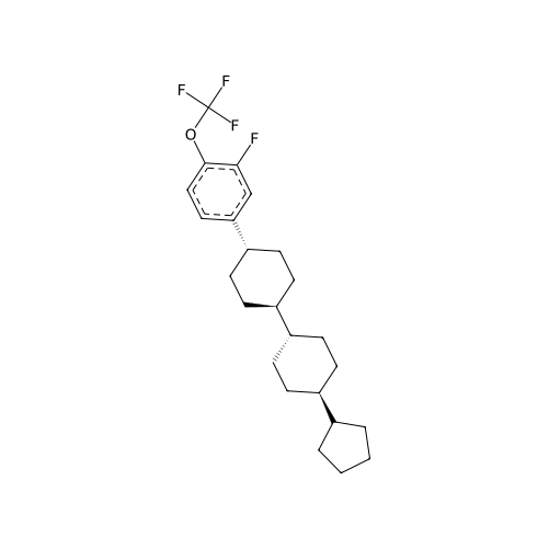 Fc1cc([C@H]2CC[C@H]([C@H]3CC[C@H](C4CCCC4)CC3)CC2)ccc1OC(F)(F)F